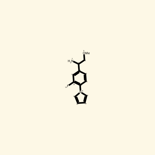 COCC(N)c1ccc(-n2cccc2)c(F)c1